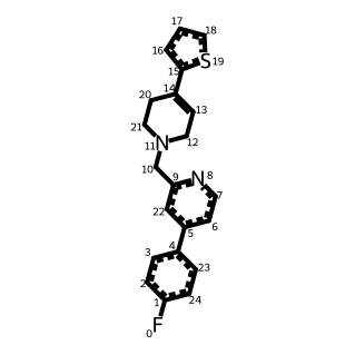 Fc1ccc(-c2ccnc(CN3CC=C(c4cccs4)CC3)c2)cc1